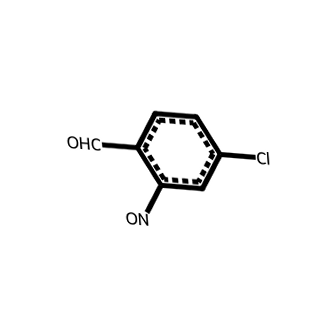 O=Cc1ccc(Cl)cc1N=O